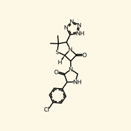 CC1(C)S[C@H]2C(N3CNC(c4ccc(Cl)cc4)C3=O)C(=O)N2C1c1nnn[nH]1